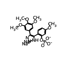 COc1ccc(-c2[nH]nnc2-c2cc(OC)c(OC)c(OC)c2)c(OP(=O)([O-])[O-])c1.[Na+].[Na+]